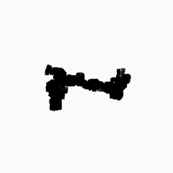 CC(=O)N1CCc2c(c(N3CCCc4cc(-c5cnn(C)c5)c(C(F)F)cc43)nn2C2CCN(C(=O)CCCN3CCC(CNc4ccc5c(c4)n(C)c(=O)n5C4CCC(=O)NC4=O)CC3)CC2)C1